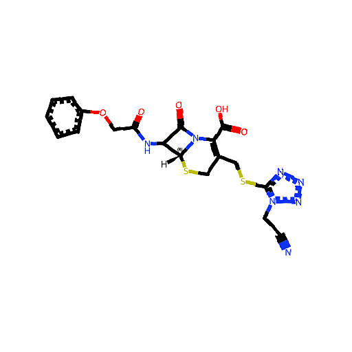 N#CCn1nnnc1SCC1=C(C(=O)O)N2C(=O)C(NC(=O)COc3ccccc3)[C@H]2SC1